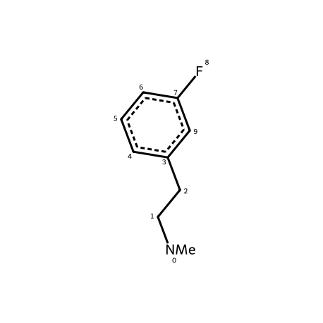 [CH2-][NH2+]CCc1cccc(F)c1